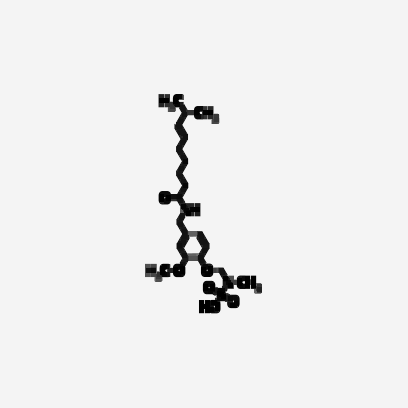 COc1cc(CNC(=O)CCCC/C=C/C(C)C)ccc1OCN(C)S(=O)(=O)O